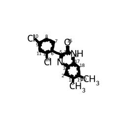 Cc1cc2nc(-c3ccc(Cl)cc3Cl)c(=O)[nH]c2cc1C